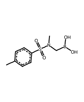 Cc1ccc(S(=O)(=O)N(C)CB(O)O)cc1